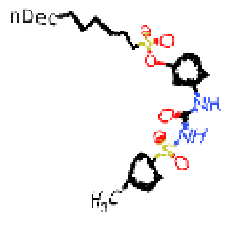 CCCCCCCCCCCCCCCCS(=O)(=O)Oc1cccc(NC(=O)NS(=O)(=O)c2ccc(C)cc2)c1